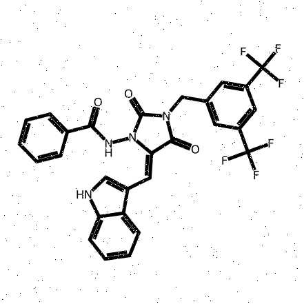 O=C(NN1C(=O)N(Cc2cc(C(F)(F)F)cc(C(F)(F)F)c2)C(=O)C1=Cc1c[nH]c2ccccc12)c1ccccc1